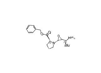 CC(C)(C)[C@H](N)C1OC1N1CCC[C@H]1C(=O)OCc1ccccc1